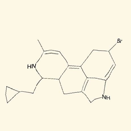 CC1=CC2=C3CC(Br)C=C4NCC(=C43)CC2C(CC2CC2)N1